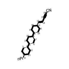 CCC[C@H]1CC[C@H]([C@H]2CC[C@H]([C@H]3CC[C@H](C=CC#CC#N)CC3)CC2)CC1